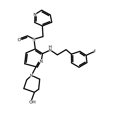 O=CN(Cc1cccnc1)c1ccc(N2CCC(O)CC2)nc1NCCc1cccc(F)c1